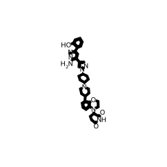 Nc1nnc(-c2ccccc2O)cc1-c1cnn([C@H]2CC[C@H](N3CCC(c4cccc5c4OCCN5C4CCC(=O)NC4=O)CC3)CC2)c1